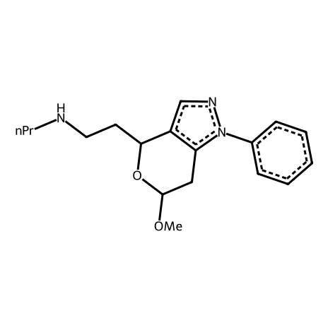 CCCNCCC1OC(OC)Cc2c1cnn2-c1ccccc1